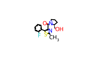 Cc1nc(C(=O)N2CCC[C@H]2CO)c(-c2ccccc2F)s1